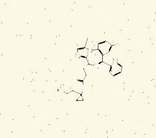 CCOC(=O)OCCC1(OC(=O)CC[C@@H]2N=C(c3ccccn3)c3cc(Br)ccc3-n3c(C)cnc32)CC1